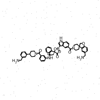 NCc1cccc(C2CCN(C(=O)c3cccc(NC(=O)C[C@@]4(c5ccccc5)OB(c5c[nH]c6ccc(C(=O)N7CCC8(CC7)COc7ccc(CN)cc78)cc56)OC4=O)c3)CC2)c1